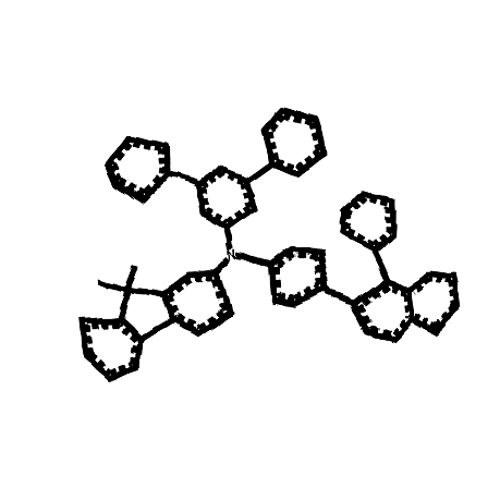 CC1(C)c2ccccc2-c2ccc(N(c3ccc(-c4ccc5ccccc5c4-c4ccccc4)cc3)c3cc(-c4ccccc4)cc(-c4ccccc4)c3)cc21